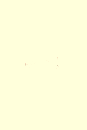 [LiH].[S]=[GeH2].[Zn]